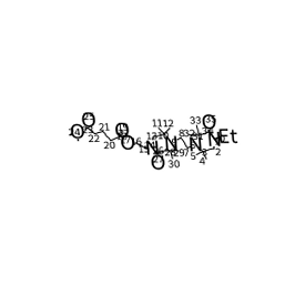 [CH2]CN1CC(C)(C)N(CCN2C(C)(C)CN(CCOC(=O)CCCC([O])=O)C(=O)C2(C)C)C(C)(C)C1=O